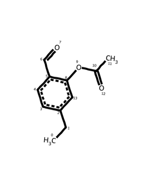 CCc1ccc(C=O)c(OC(C)=O)c1